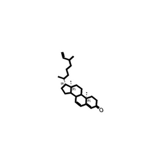 C=CC(C)CCCC(C)[C@H]1CCC2C3C=CC4=CC(=O)CC[C@]4(C)C3CC[C@@]21C